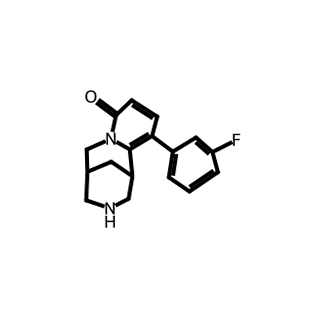 O=c1ccc(-c2cccc(F)c2)c2n1CC1CNCC2C1